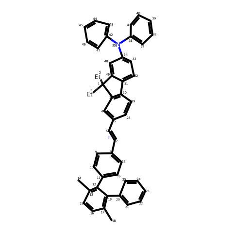 CCC1(CC)c2cc(/C=C/c3ccc(-c4c(C)ccc(C)c4-c4ccccc4)cc3)ccc2-c2ccc(N(c3ccccc3)c3ccccc3)cc21